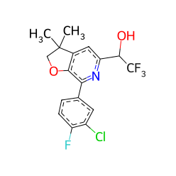 CC1(C)COc2c1cc(C(O)C(F)(F)F)nc2-c1ccc(F)c(Cl)c1